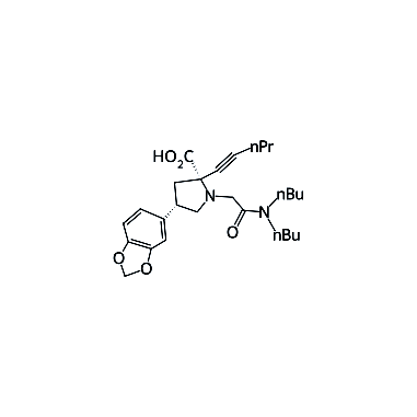 CCCC#C[C@]1(C(=O)O)C[C@@H](c2ccc3c(c2)OCO3)CN1CC(=O)N(CCCC)CCCC